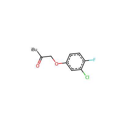 CCC(C)C(=O)COc1ccc(F)c(Cl)c1